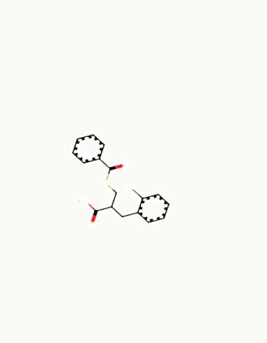 O=C(SCC(Cc1ccccc1Cl)C(=O)O)c1ccccc1